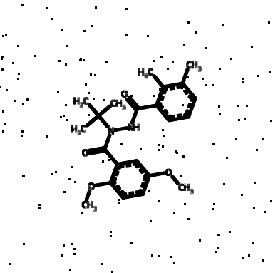 COc1ccc(OC)c(C(=O)N(NC(=O)c2cccc(C)c2C)C(C)(C)C)c1